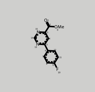 COC(=O)c1cc(-c2ccc(F)cc2)ncn1